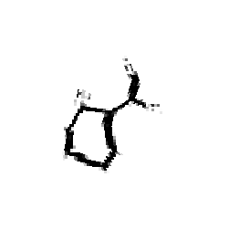 O=C([O-])C1=CCC=CC1.[Na+]